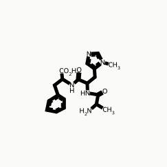 CC(N)C(=O)NC(Cc1cncn1C)C(=O)NC(Cc1ccccc1)C(=O)O